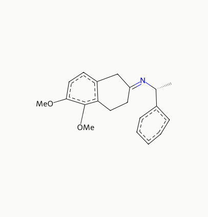 COc1ccc2c(c1OC)CCC(=N[C@H](C)c1ccccc1)C2